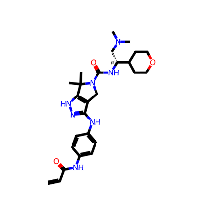 C=CC(=O)Nc1ccc(Nc2n[nH]c3c2CN(C(=O)N[C@H](CN(C)C)C2CCOCC2)C3(C)C)cc1